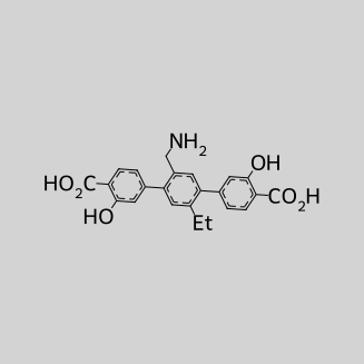 CCc1cc(-c2ccc(C(=O)O)c(O)c2)c(CN)cc1-c1ccc(C(=O)O)c(O)c1